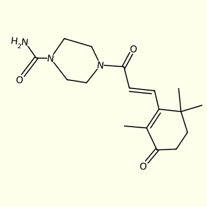 CC1=C(C=CC(=O)N2CCN(C(N)=O)CC2)C(C)(C)CCC1=O